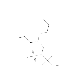 CC[C@H](C)O[C@H](CCO)CN(C(C)(C)CC)S(C)(=O)=O